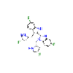 Fc1ccc2c(c1)nc(-c1[nH]c3cc(F)ccc3c1C[C@@H]1C[C@H](F)CN1)n2C[C@@H]1C[C@H](F)CN1